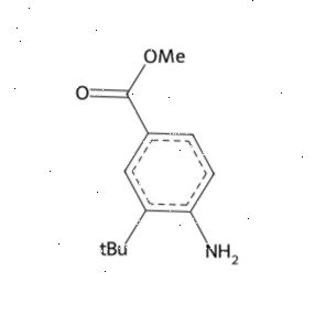 COC(=O)c1ccc(N)c(C(C)(C)C)c1